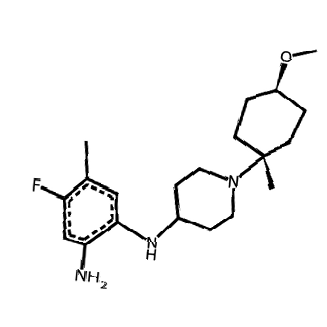 CO[C@H]1CC[C@](C)(N2CCC(Nc3cc(C)c(F)cc3N)CC2)CC1